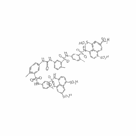 Cc1ccc(NC(=O)Nc2ccc(C)c(S(=O)(=O)Nc3ccc(C)c(S(=O)(=O)Nc4ccc(S(=O)(=O)O)c5cc(S(=O)(=O)O)cc(S(=O)(=O)O)c45)c3)c2)cc1S(=O)(=O)Nc1ccc(C)c(S(=O)(=O)Nc2ccc(S(=O)(=O)O)c3cc(S(=O)(=O)O)cc(S(=O)(=O)O)c23)c1